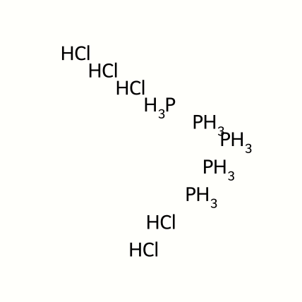 Cl.Cl.Cl.Cl.Cl.P.P.P.P.P